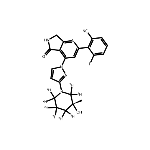 [2H]C1([2H])N(c2ccn(-c3cc(-c4c(F)cccc4C#N)nc4c3C(=O)NC4)n2)C([2H])([2H])[C@](C)(O)C([2H])([2H])C1([2H])[2H]